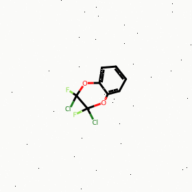 FC1(Cl)Oc2ccccc2OC1(F)Cl